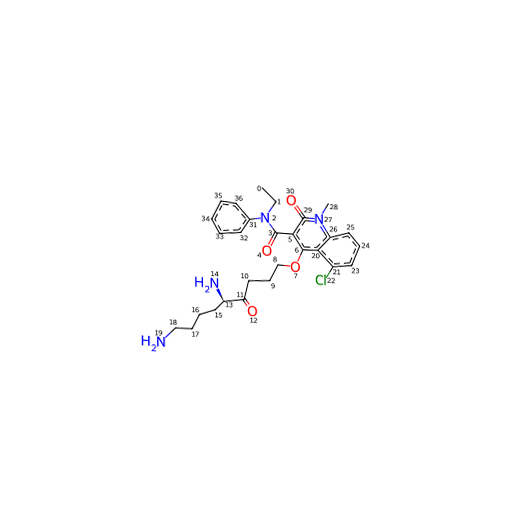 CCN(C(=O)c1c(OCCCC(=O)[C@H](N)CCCCN)c2c(Cl)cccc2n(C)c1=O)c1ccccc1